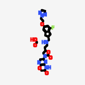 O=C1COc2ncc(N3CC(CCNCC4Cc5cc(OCCn6nccn6)cc(F)c5C4)OC3=O)nc2N1.O=CO